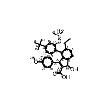 CCc1ccc2c(c1-c1ccc(C(C)(C)C)cc1O[SiH](C)C)C(c1ccc(OC)cc1)=C(C(=O)O)C2O